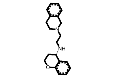 c1ccc2c(c1)CCN(CCN[C@H]1CCOc3ccccc31)C2